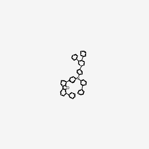 c1ccc(-c2cccc(N(c3ccc(-c4ccc(-c5ccccc5)c(-c5ccccc5)c4)cc3)c3ccc(-c4cccc5c4oc4c(-c6ccccc6)cccc45)cc3)c2)cc1